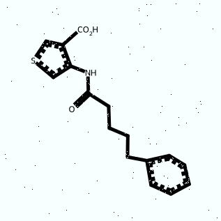 O=C(CCCCc1ccccc1)Nc1cscc1C(=O)O